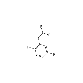 Fc1ccc(F)c([CH]C(F)F)c1